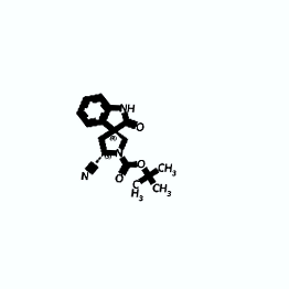 CC(C)(C)OC(=O)N1C[C@]2(C[C@H]1C#N)C(=O)Nc1ccccc12